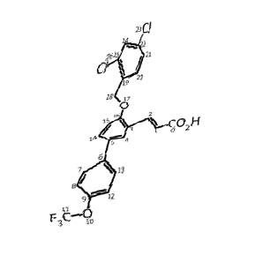 O=C(O)C=Cc1cc(-c2ccc(OC(F)(F)F)cc2)ccc1OCc1ccc(Cl)cc1Cl